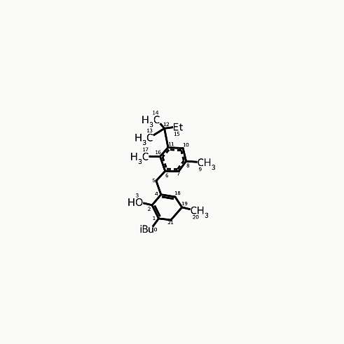 CCC(C)C1=C(O)C(Cc2cc(C)cc(C(C)(C)CC)c2C)=CC(C)C1